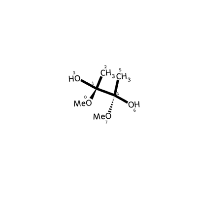 CO[C@](C)(O)[C@@](C)(O)OC